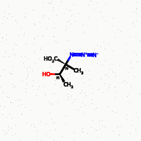 C[C@@H](O)[C@](C)(N=[N+]=[N-])C(=O)O